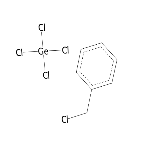 ClCc1ccccc1.[Cl][Ge]([Cl])([Cl])[Cl]